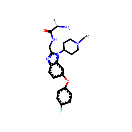 CC(=O)N1CCC(n2c(CNC(=O)[C@H](C)N)nc3ccc(Oc4ccc(F)cc4)cc32)CC1